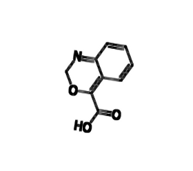 O=C(O)C1=c2ccccc2=NCO1